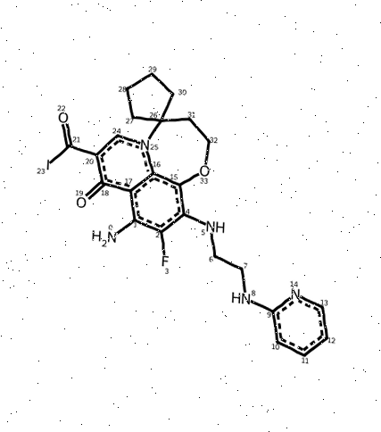 Nc1c(F)c(NCCNc2ccccn2)c2c3c1c(=O)c(C(=O)I)cn3C1(CCCC1)CCO2